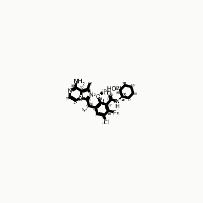 Cc1nc([C@@H](C)c2cc(Cl)c(F)c(C(=O)N[C@@H]3CCCC[C@H]3O)c2OC(C)C)n2ccnc(N)c12